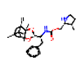 C[C@@H]1CCN[C@@H]1COC(=O)N[C@@H](Cc1ccccc1)B1O[C@@H]2C[C@@H]3C[C@@H](C3(C)C)[C@]2(C)O1